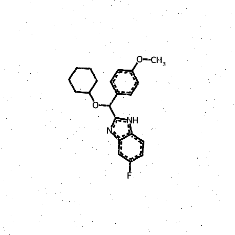 COc1ccc(C(OC2CCCCC2)c2nc3cc(F)ccc3[nH]2)cc1